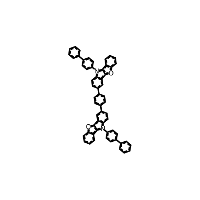 c1ccc(-c2ccc(-n3c4ccc(-c5ccc(-c6ccc7c(c6)c6oc8ccccc8c6n7-c6ccc(-c7ccccc7)cc6)cc5)cc4c4oc5ccccc5c43)cc2)cc1